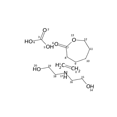 C=C.O=C(O)O.O=C1CCCCCO1.OCCNCCO